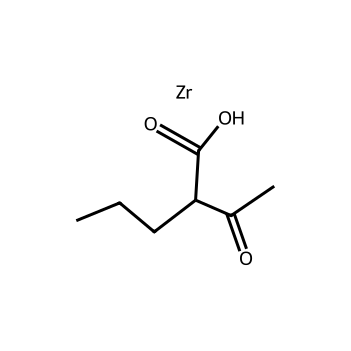 CCCC(C(C)=O)C(=O)O.[Zr]